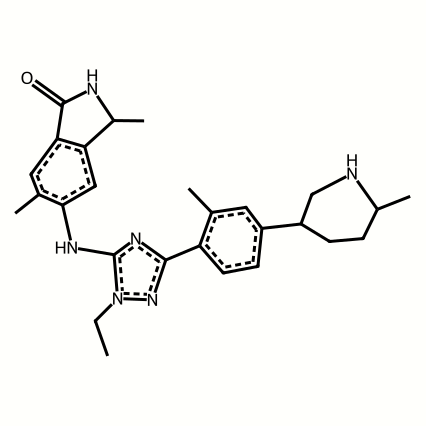 CCn1nc(-c2ccc(C3CCC(C)NC3)cc2C)nc1Nc1cc2c(cc1C)C(=O)NC2C